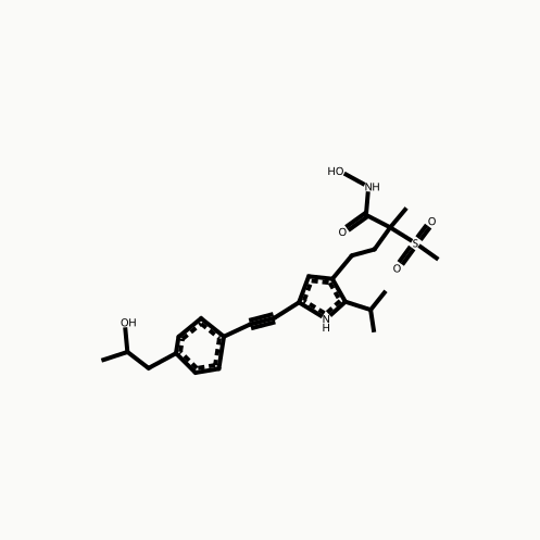 CC(O)Cc1ccc(C#Cc2cc(CCC(C)(C(=O)NO)S(C)(=O)=O)c(C(C)C)[nH]2)cc1